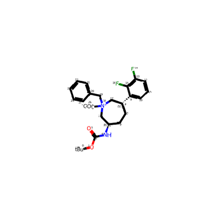 CC(C)(C)OC(=O)N[C@@H]1CC[C@@H](c2cccc(F)c2F)C[N+](Cc2ccccc2)(C(=O)[O-])C1